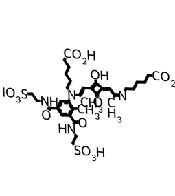 CC(/C=C1\C(=O)C(/C=C(\C)N(CCCCCC(=O)O)c2cc(C(=O)NCCS(=O)(=O)O)cc(C(=O)NCCS(=O)(=O)O)c2C)=C1O)=N/CCCCCC(=O)O